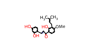 COc1ccc(C(=O)/C=C/c2ccc(O)cc2O)c(O)c1CC=C(C)C